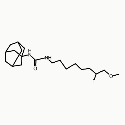 COCC(F)CCCCCCNC(=O)NC12CC3CC(CC(C3)C1)C2